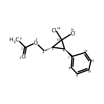 CC(=O)OC[C@H]1[C@H](c2ccccc2)C1(Cl)Cl